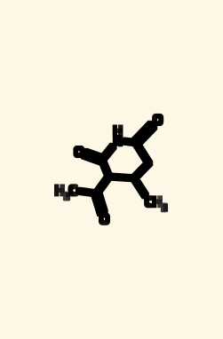 CC(=O)C1C(=O)NC(=O)CC1C